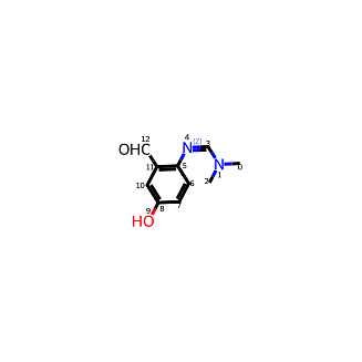 CN(C)/C=N\c1ccc(O)cc1C=O